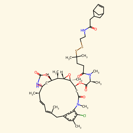 C/C1=C\C=C\[C@@H](C)[C@@]2(O)C[C@H](OC(=O)N2)[C@@H](C)[C@@H]2O[C@@]2(C)[C@@H](OC(=O)[C@H](C)N(C)C(=O)CCC(C)(C)SSCCNC(=O)CC2CC3C=CC2C3)CC(=O)N(C)c2cc(cc(C)c2Cl)C1